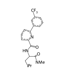 CNC(=O)C(CC(C)C)NC(=O)c1cccc(-c2cccc(C(F)(F)F)c2)n1